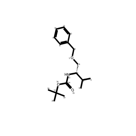 CC(C)[C@@H](COCc1ccccc1)NC(=O)OC(C)(C)C